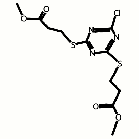 COC(=O)CCSc1nc(Cl)nc(SCCC(=O)OC)n1